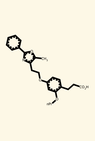 CCCOc1cc(OCCc2nc(-c3ccccc3)oc2C)ccc1CCC(=O)O